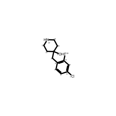 OC1(Cc2ccc(Cl)cc2F)CCNCC1